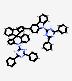 c1ccc(-c2nc(-c3ccccc3)nc(N3c4ccccc4C4(c5ccccc5-c5ccc(-c6ccc7c(c6)c6ccccc6n7-c6nc(-c7ccccc7)nc(-c7ccccc7)n6)cc54)c4ccccc43)n2)cc1